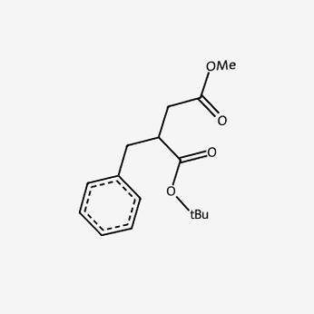 COC(=O)CC(Cc1ccccc1)C(=O)OC(C)(C)C